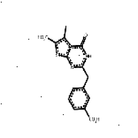 Cc1c(C(=O)O)sc2nc(Cc3cccc(C(=O)O)c3)[nH]c(=O)c12